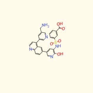 NCc1cncc(-c2ccnc3ccc(-c4cnc(O)c(NS(=O)(=O)c5cccc(C(=O)O)c5)c4)cc23)c1